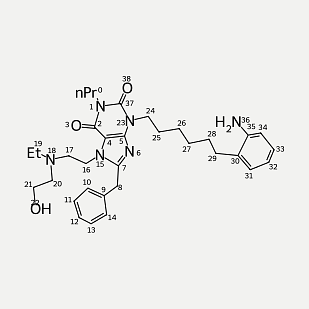 CCCn1c(=O)c2c(nc(Cc3ccccc3)n2CCN(CC)CCO)n(CCCCCCc2ccccc2N)c1=O